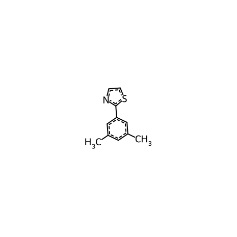 Cc1cc(C)cc(-c2nccs2)c1